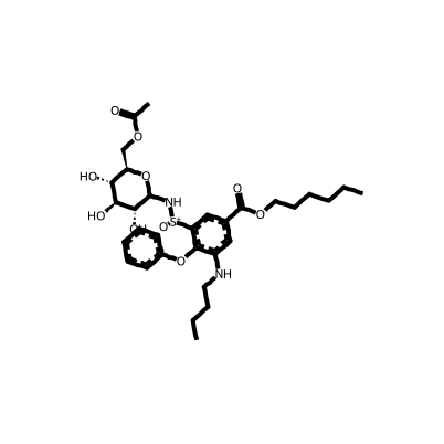 CCCCCCOC(=O)c1cc(NCCCC)c(Oc2ccccc2)c([S+]([O-])NC2O[C@H](COC(C)=O)[C@@H](O)[C@H](O)[C@H]2O)c1